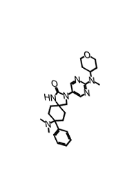 CN(c1ncc(N2CC3(CCC(c4ccccc4)(N(C)C)CC3)NC2=O)cn1)C1CCOCC1